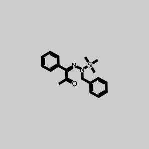 CC(=O)C(=NN(Cc1ccccc1)[Si](C)(C)C)c1ccccc1